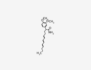 CCCC=CC=CC=CCCC(C(N)=O)c1ccc(OC)c(OC)c1